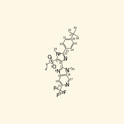 CCS(=O)(=O)c1c(-c2nc3cc(C(F)(F)F)ncc3n2C)nc(-c2ccc(C(C)(C)C)cc2)n1C